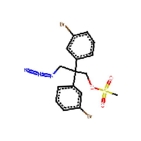 CS(=O)(=O)OCC(CN=[N+]=[N-])(c1cccc(Br)c1)c1cccc(Br)c1